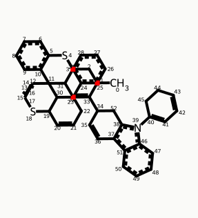 CC1CC2Sc3ccccc3C3(C4C=CC=CC4SC4C=CCC(c5ccccc5)C43)C2C=C1C1C=Cc2c(n(C3=CC=CCC3)c3ccccc23)C1